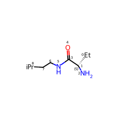 CC[C@H](N)C(=O)NCCC(C)C